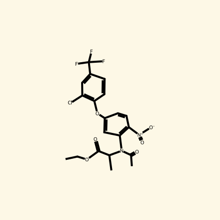 CCOC(=O)C(C)N(C(C)=O)c1cc(Oc2ccc(C(F)(F)F)cc2Cl)ccc1[N+](=O)[O-]